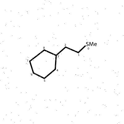 CSCC[C]1CCCCC1